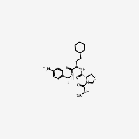 C[C@@H](NC(=S)[C@@H](CCC1CCCCC1)NC(=O)[C@@H]1CSCN1C(=O)NC(C)(C)C)c1ccc([N+](=O)[O-])cc1